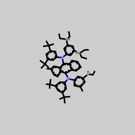 CC[SiH2]c1cc(C)cc(N(c2cc(C(C)(C)C)cc(C(C)(C)C)c2)c2c3ccccc3c(N(c3cc([SiH](CC)CC)cc([SiH](CC)CC)c3)c3cc(C(C)(C)C)cc(C(C)(C)C)c3)c3cc(C)ccc23)c1